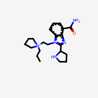 CCC[N+]1(CCn2c(C3CCCN3)nc3c(C(N)=O)cccc32)CCCC1